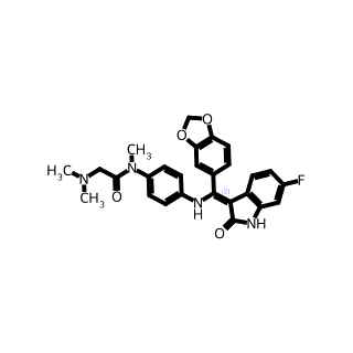 CN(C)CC(=O)N(C)c1ccc(N/C(=C2\C(=O)Nc3cc(F)ccc32)c2ccc3c(c2)OCO3)cc1